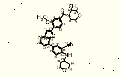 COc1cc(C(=O)N2CCOCC2C)ccc1-c1cc2nccc(-c3ccc(NC4CCOCC4)c(C#N)c3)c2o1